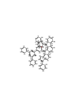 c1ccc(-c2cc(-c3nc(-c4ccccc4)nc(-c4ccccc4)n3)cc(-n3c4c(ccc5c4ccn5-c4ccccc4)c4ccc5c6ccccc6n(-c6ccccc6)c5c43)c2)cc1